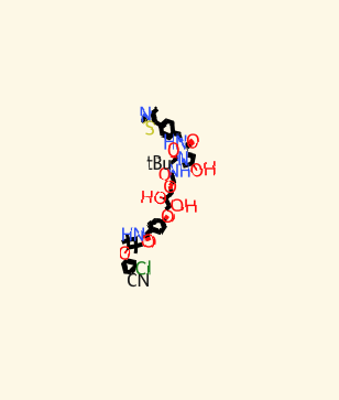 Cc1ncsc1-c1ccc(CNC(=O)[C@@H]2C[C@@H](O)CN2C(=O)C(NC(=O)COC[C@H](O)[C@@H](O)COc2ccc(C(=O)N[C@H]3C(C)(C)[C@H](Oc4ccc(C#N)c(Cl)c4)C3(C)C)cc2)C(C)(C)C)cc1